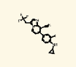 N#Cc1c(-c2ccc(NC3CC3)c(I)c2)ccn2c(CC(F)(F)F)cnc12